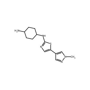 Cn1cc(-c2cnc(NC3CCC(N)CC3)s2)cn1